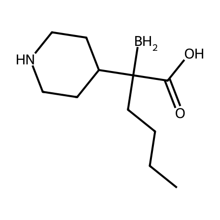 BC(CCCC)(C(=O)O)C1CCNCC1